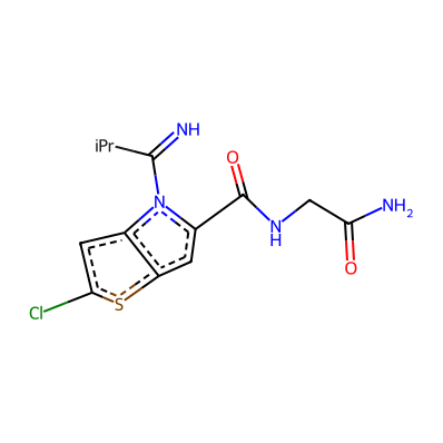 CC(C)C(=N)n1c(C(=O)NCC(N)=O)cc2sc(Cl)cc21